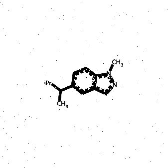 CC(C)C(C)c1ccc2c(cnn2C)c1